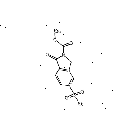 CCS(=O)(=O)c1ccc2c(c1)CN(C(=O)OC(C)(C)C)C2=O